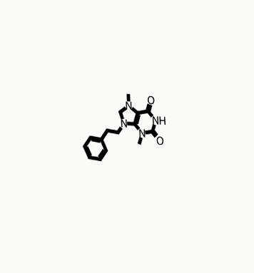 CN1CN(CCc2ccccc2)c2c1c(=O)[nH]c(=O)n2C